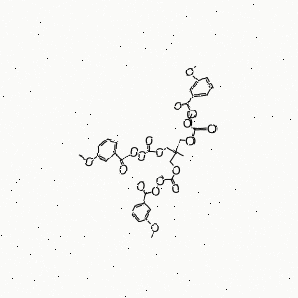 COc1cccc(C(=O)OOC(=O)OCC(C)(COC(=O)OOC(=O)c2cccc(OC)c2)COC(=O)OOC(=O)c2cccc(OC)c2)c1